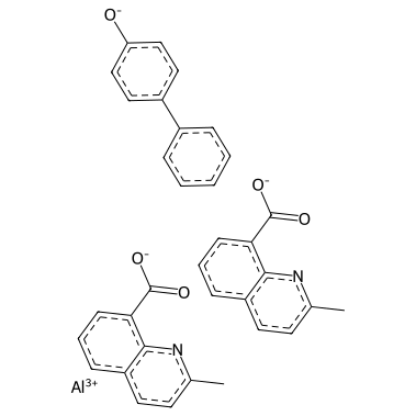 Cc1ccc2cccc(C(=O)[O-])c2n1.Cc1ccc2cccc(C(=O)[O-])c2n1.[Al+3].[O-]c1ccc(-c2ccccc2)cc1